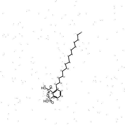 CCCCCCCCCCCCCCCCc1cccc(S(=O)(=O)O)c1S(=O)(=O)O